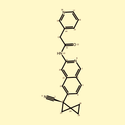 N#C[C@]1(c2ccc3cnc(NC(=O)Cc4cccnc4)cc3c2)CC12CC2